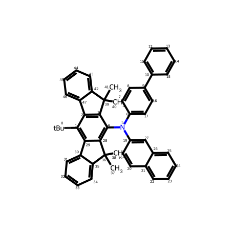 CC(C)(C)c1c2c(c(N(c3ccc(-c4ccccc4)cc3)c3ccc4ccccc4c3)c3c1-c1ccccc1C3(C)C)C(C)(C)c1ccccc1-2